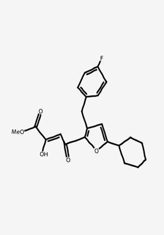 COC(=O)C(O)=CC(=O)c1oc(C2CCCCC2)cc1Cc1ccc(F)cc1